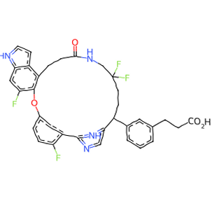 O=C(O)CCc1cccc(C2CCC(F)(F)CNC(=O)CCc3c(c(F)cc4[nH]ccc34)Oc3ccc(F)c(c3)-c3ncc2[nH]3)c1